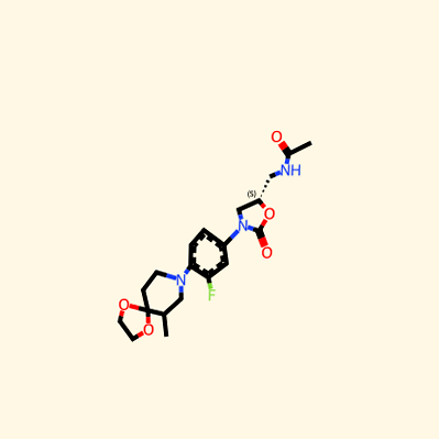 CC(=O)NC[C@H]1CN(c2ccc(N3CCC4(OCCO4)C(C)C3)c(F)c2)C(=O)O1